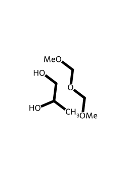 CC(O)CO.COCOCOC